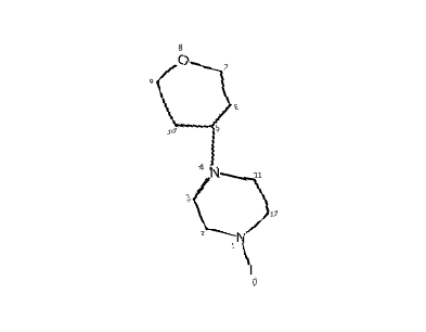 IN1CCN(C2CCOCC2)CC1